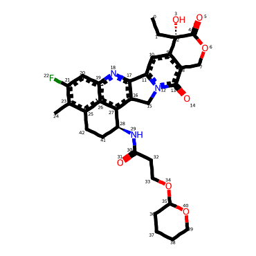 CC[C@@]1(O)C(=O)OCc2c1cc1n(c2=O)Cc2c-1nc1cc(F)c(C)c3c1c2[C@@H](NC(=O)CCOC1CCCCO1)CC3